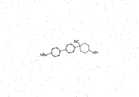 CCCCc1ccc(-c2ccc(C3(C#N)CCC(CCC)CC3)cc2)cc1